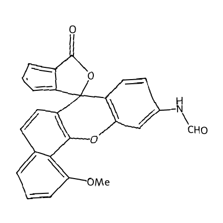 COc1cccc2ccc3c(c12)Oc1cc(NC=O)ccc1C31OC(=O)c2ccccc21